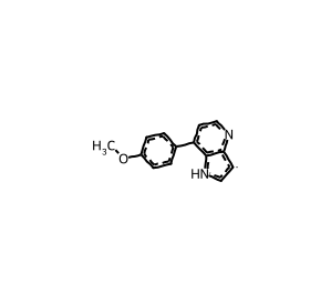 COc1ccc(-c2ccnc3[c]c[nH]c23)cc1